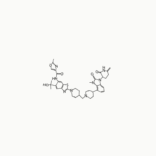 C=C1CCC(n2c(=O)n(C)c3c(C4CCN(CC5CCN(c6nc7cc(C(C)(C)O)c(NC(=O)c8coc(C)n8)cc7s6)CC5)CC4)cccc32)C(=O)N1